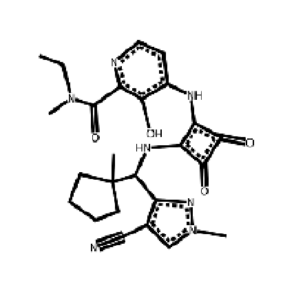 CCN(C)C(=O)c1nccc(Nc2c(NC(c3nn(C)cc3C#N)C3(C)CCCC3)c(=O)c2=O)c1O